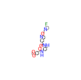 Cc1ccc(NC(=O)c2ccc3c(c2)OCCO3)cc1NC(=O)c1ccc2nc(OCCN3CCCC(F)C3)ccc2c1